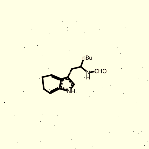 CCCCC(Cc1c[nH]c2c1=CCCC=2)NC=O